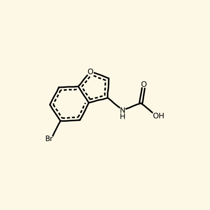 O=C(O)Nc1coc2ccc(Br)cc12